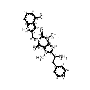 Cn1c(C(N)Cc2ccncc2)nc2c1c(=O)n(Cc1cc3c(Cl)cccc3[nH]1)c(=O)n2C